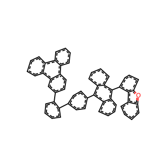 c1ccc(-c2ccc3c4ccccc4c4ccccc4c3c2)c(-c2ccc(-c3c4ccccc4c(-c4cccc5oc6ccccc6c45)c4ccccc34)cc2)c1